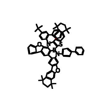 CC(C)(C)c1ccc(N2c3c(sc4cc5c(cc34)C(C)(C)CCC5(C)C)B3c4c(cc5c(oc6ccccc65)c42)-c2cc4c(cc2N3c2ccc(-c3ccccc3)cc2)oc2cc3c(cc24)C(C)(C)CCC3(C)C)c(-c2ccccc2)c1